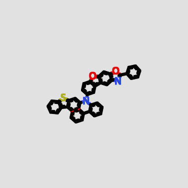 c1ccc(-c2nc3cc4c(cc3o2)oc2ccc(N(c3ccc5c(c3)sc3ccccc35)c3ccccc3-c3ccccc3)cc24)cc1